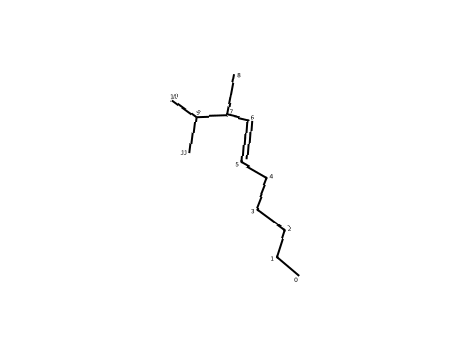 CCCCCC=CC(C)C(C)C